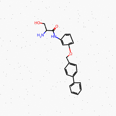 NC(CO)C(=O)Nc1cccc(OCc2ccc(-c3ccccc3)cc2)c1